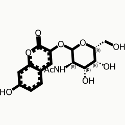 CC(=O)N[C@H]1C(Oc2cc3ccc(O)cc3oc2=O)O[C@H](CO)[C@H](O)[C@@H]1O